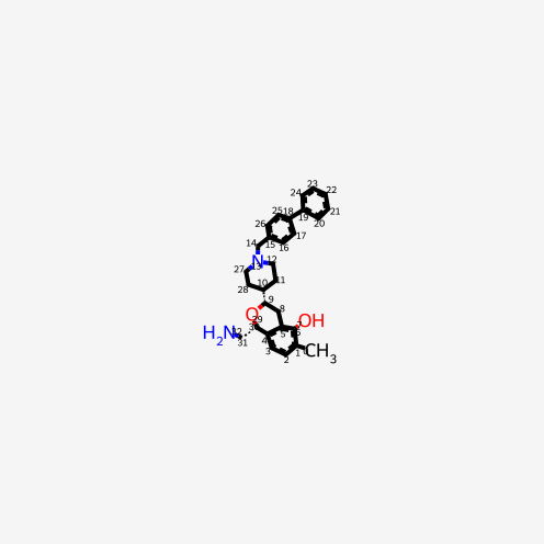 Cc1ccc2c(c1O)C[C@@H](C1CCN(Cc3ccc(-c4ccccc4)cc3)CC1)O[C@H]2CN